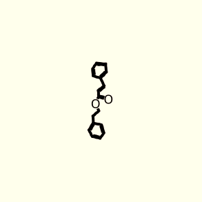 O=C(C=Cc1ccccc1)OCCc1ccccc1